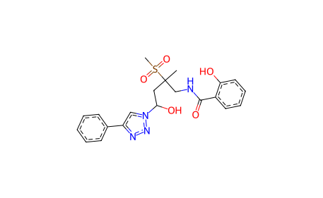 CC(CNC(=O)c1ccccc1O)(CC(O)n1cc(-c2ccccc2)nn1)S(C)(=O)=O